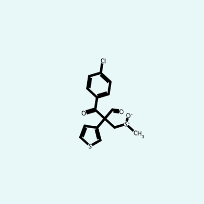 C[S+]([O-])CC(C=O)(C(=O)c1ccc(Cl)cc1)c1ccsc1